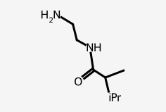 CC(C)C(C)C(=O)NCCN